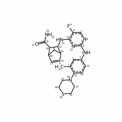 Cc1cc(Nc2ncc(F)c(NC3C4C=CC(C4)C3C(N)=O)n2)ccc1N1CCSCC1